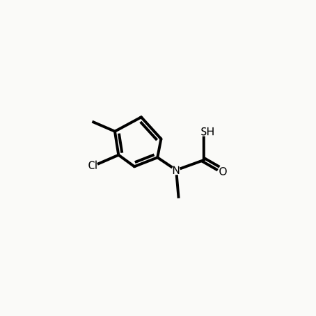 Cc1ccc(N(C)C(=O)S)cc1Cl